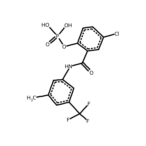 Cc1cc(NC(=O)c2cc(Cl)ccc2OP(=O)(O)O)cc(C(F)(F)F)c1